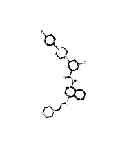 O=C(Nc1ccc(OCCN2CCOCC2)c2ccccc12)c1cc(F)cc(N2CCN(c3ccc(F)cc3)CC2)c1